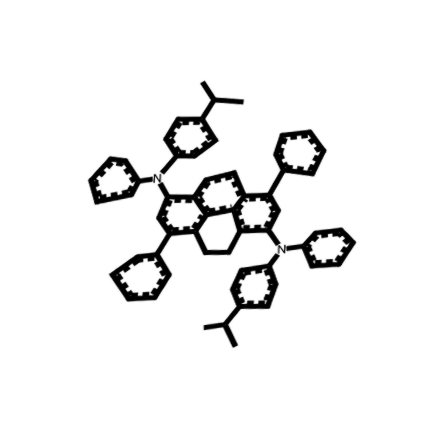 CC(C)c1ccc(N(c2ccccc2)c2cc(-c3ccccc3)c3ccc4c(N(c5ccccc5)c5ccc(C(C)C)cc5)cc(-c5ccccc5)c5c4c3c2CC5)cc1